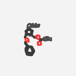 CO[C@@H]1C[C@H](COCc2ccccc2)[C@@H](COC(=O)C(C)(C)C)C1